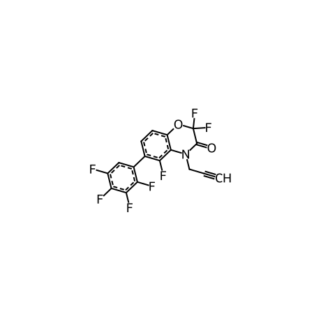 C#CCN1C(=O)C(F)(F)Oc2ccc(-c3cc(F)c(F)c(F)c3F)c(F)c21